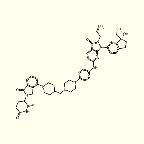 C=CCn1c(=O)c2cnc(Nc3ccc(N4CCN(CC5CCN(c6cccc7c6CN(C6CCC(=O)NC6=O)C7=O)CC5)CC4)cc3)nc2n1-c1ccc2c(n1)[C@@](O)(CC)CC2